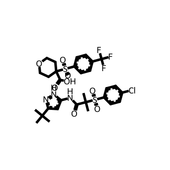 CC(C)(C)c1cc(NC(=O)C(C)(C)S(=O)(=O)c2ccc(Cl)cc2)[nH]n1.O=C(O)C1(S(=O)(=O)c2ccc(C(F)(F)F)cc2)CCOCC1